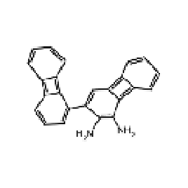 Nc1c(-c2cccc3c2=c2ccccc2=3)cc2c(c1N)=c1ccccc1=2